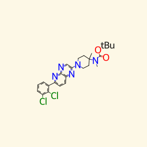 CN(C(=O)OC(C)(C)C)C1(C)CCN(c2cnc3nc(-c4cccc(Cl)c4Cl)ccc3n2)CC1